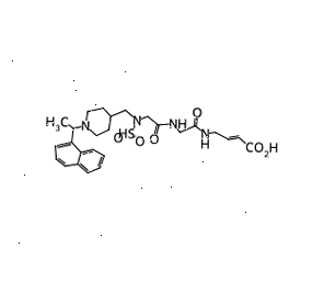 CC(c1cccc2ccccc12)N1CCC(CN(CC(=O)NCC(=O)NC/C=C/C(=O)O)[SH](=O)=O)CC1